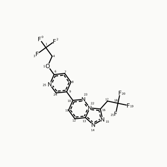 FC(F)(F)COc1ccc(-c2ccc3nnc(CC(F)(F)F)n3n2)cn1